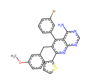 COc1cccc(Cc2c(-c3cccs3)nc3ncnc(N)c3c2-c2cccc(Br)c2)c1